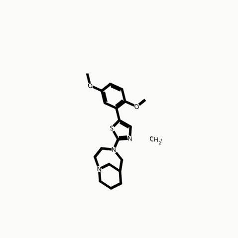 COc1ccc(OC)c(-c2cnc(N3CCN4CCCC(C4)C3)s2)c1.[CH2]